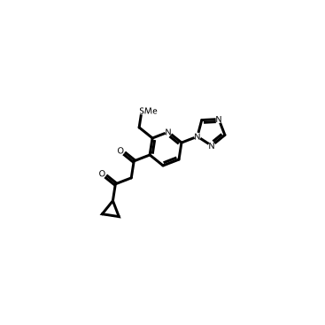 CSCc1nc(-n2cncn2)ccc1C(=O)CC(=O)C1CC1